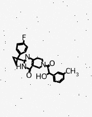 Cc1cccc(C(O)C(=O)N2CCc3nc(C4(c5ccc(F)cc5)CC4)[nH]c(=O)c3C2)c1